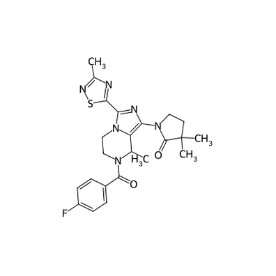 Cc1nsc(-c2nc(N3CCC(C)(C)C3=O)c3n2CCN(C(=O)c2ccc(F)cc2)C3C)n1